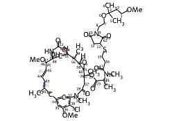 COCCC(C)(C)OCCN1C(=O)CC(SCCC(=O)N(C)[C@@H](C)C(=O)O[C@H]2CC(=O)N(C)c3cc(cc(OC)c3Cl)C/C(C)=C/C=C/[C@@H](OC)[C@@]3(O)C[C@H](OC(=O)N3)[C@@H](C)[C@@H]3O[C@@]23C)C1=O